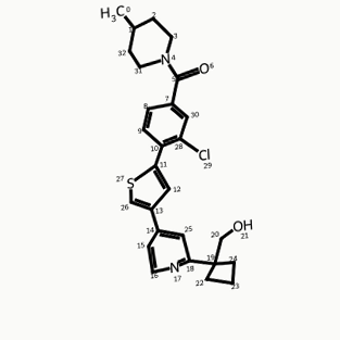 CC1CCN(C(=O)c2ccc(-c3cc(-c4ccnc(C5(CO)CCC5)c4)cs3)c(Cl)c2)CC1